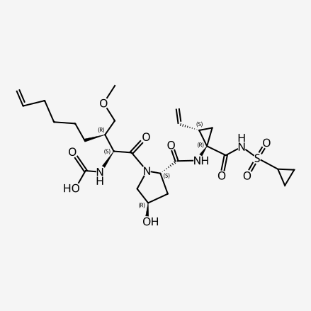 C=CCCCC[C@@H](COC)[C@H](NC(=O)O)C(=O)N1C[C@H](O)C[C@H]1C(=O)N[C@]1(C(=O)NS(=O)(=O)C2CC2)C[C@H]1C=C